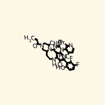 C=CC(=O)N1CC(C)N2c3nc(=O)n(-c4c(C)ccnc4C(C)C)c4nc(-c5c(O)ccc(F)c5F)c(Cl)c(c34)NCCC2C1